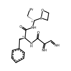 CC(C)C[C@@H](NC(=O)[C@H](Cc1ccccc1)NC(=O)C(=N)C=N)B1CCO1